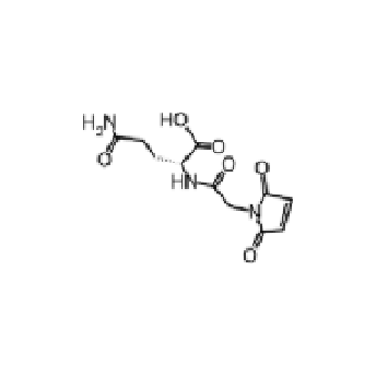 NC(=O)CC[C@@H](NC(=O)CN1C(=O)C=CC1=O)C(=O)O